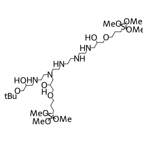 CO[Si](CCCOCC(O)CNCCNCCNCCN(CCNCC(O)COC(C)(C)C)CC(O)COCCC[Si](OC)(OC)OC)(OC)OC